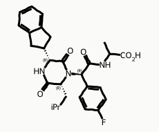 CC(C)C[C@@H]1C(=O)N[C@H](C2Cc3ccccc3C2)C(=O)N1[C@@H](C(=O)NC(C)C(=O)O)c1ccc(F)cc1